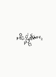 CCOc1c(C2S[C@]2(C)NN)cc(Cl)c(F)c1[C@@H]1CNC(=O)C1